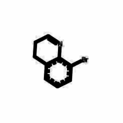 Brc1cccc2c1N=CCC2